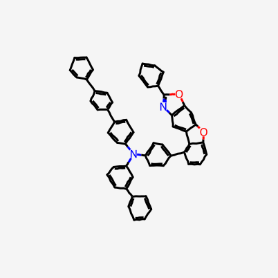 c1ccc(-c2ccc(-c3ccc(N(c4ccc(-c5cccc6oc7cc8oc(-c9ccccc9)nc8cc7c56)cc4)c4cccc(-c5ccccc5)c4)cc3)cc2)cc1